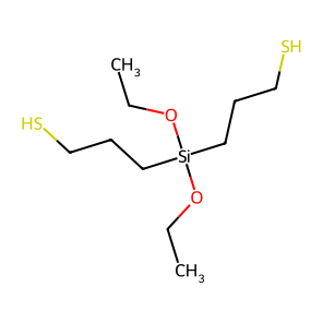 CCO[Si](CCCS)(CCCS)OCC